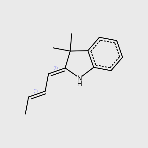 C/C=C/C=C1\Nc2ccccc2C1(C)C